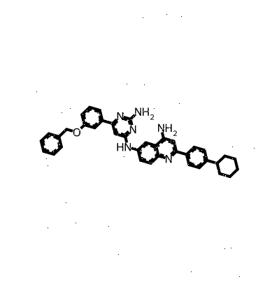 Nc1nc(Nc2ccc3nc(-c4ccc(C5CCCCC5)cc4)cc(N)c3c2)cc(-c2cccc(OCc3ccccc3)c2)n1